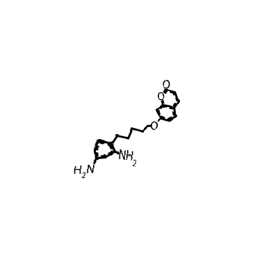 Nc1ccc(CCCCCOc2ccc3ccc(=O)oc3c2)c(N)c1